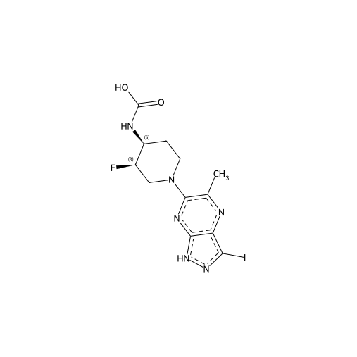 Cc1nc2c(I)n[nH]c2nc1N1CC[C@H](NC(=O)O)[C@H](F)C1